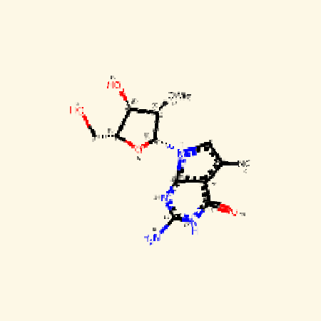 [C-]#[N+]c1cn([C@@H]2O[C@H](CO)[C@@H](O)[C@H]2OC)c2nc(N)[nH]c(=O)c12